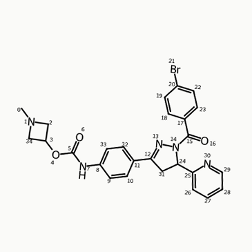 CN1CC(OC(=O)Nc2ccc(C3=NN(C(=O)c4ccc(Br)cc4)C(c4ccccn4)C3)cc2)C1